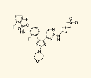 O=S1(=O)CC2(CC(Nc3nccc(-c4sc(N5CCOCC5)nc4-c4cccc(NS(=O)(=O)c5c(F)cccc5F)c4F)n3)C2)C1